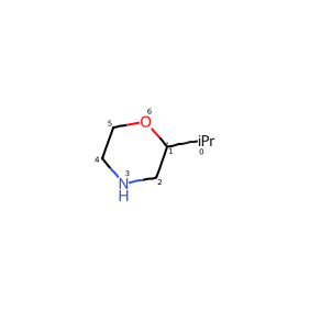 CC(C)[C]1CNCCO1